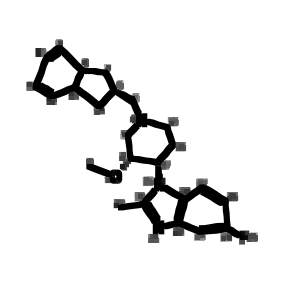 CO[C@@H]1CN(C[C@@H]2CC3C=[C]C=CC3C2)CC[C@H]1n1c(C)nc2cc(F)ccc21